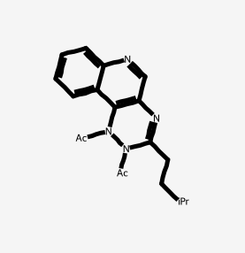 CC(=O)N1C(CCC(C)C)=Nc2cnc3ccccc3c2N1C(C)=O